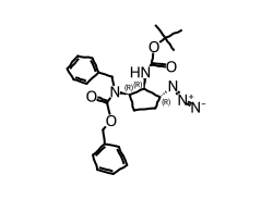 CC(C)(C)OC(=O)N[C@@H]1[C@H](N(Cc2ccccc2)C(=O)OCc2ccccc2)CC[C@H]1N=[N+]=[N-]